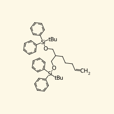 C=CCCCC(CO[Si](c1ccccc1)(c1ccccc1)C(C)(C)C)CO[Si](c1ccccc1)(c1ccccc1)C(C)(C)C